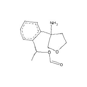 CC(OC=O)c1ccccc1C1(N)CCOC1